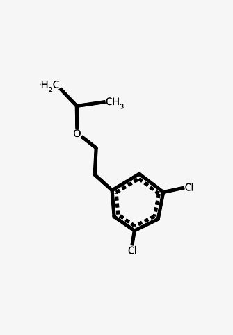 [CH2]C(C)OCCc1cc(Cl)cc(Cl)c1